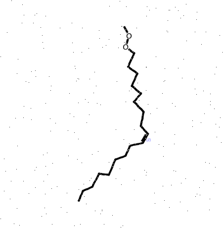 [CH2]OOCCCCCCCC/C=C\CCCCCCCC